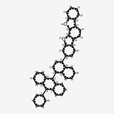 c1ccc(-c2c3ccccc3c(-c3ccc(-c4ccc5c(c4)oc4c5ccc5c6ccccc6oc54)c4ccccc34)c3ccccc23)cc1